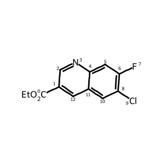 CCOC(=O)c1cnc2cc(F)c(Cl)cc2c1